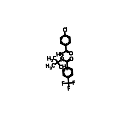 CC(C)(C)N(NC(=O)c1ccc(Cl)cc1)C(=O)c1ccc(C(F)(F)F)cc1